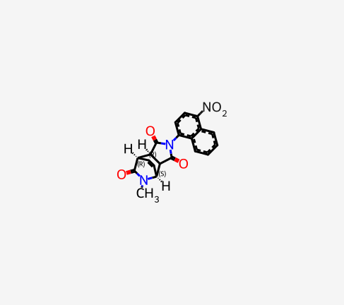 CN1C(=O)[C@@H]2C=C[C@H]1C1C(=O)N(c3ccc([N+](=O)[O-])c4ccccc34)C(=O)[C@@H]12